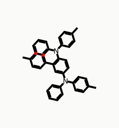 Cc1ccc(-c2cc(N(c3ccccc3)c3ccc(C)cc3)ccc2N(c2ccccc2)c2ccc(C)cc2)cc1